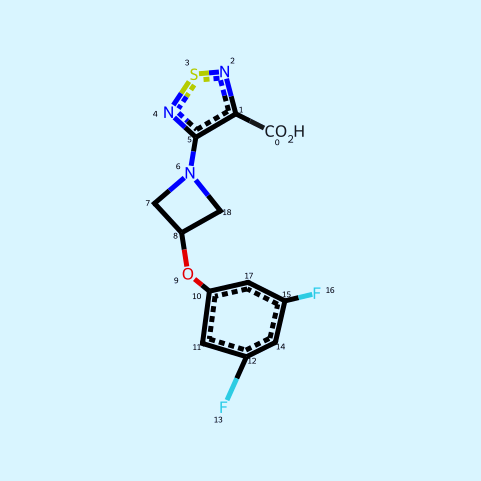 O=C(O)c1nsnc1N1CC(Oc2cc(F)cc(F)c2)C1